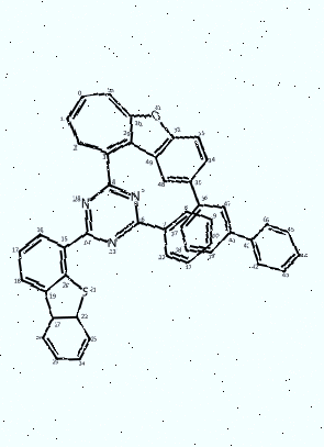 C1=CCC(c2nc(-c3ccccc3)nc(-c3cccc4c3SC3C=CC=CC43)n2)=c2c(oc3ccc(-c4cccc(-c5ccccc5)c4)cc23)=C1